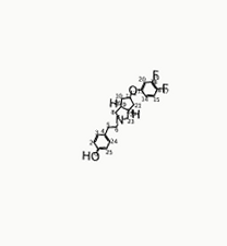 Oc1ccc(CCN2C[C@H]3C[C@H](Oc4ccc(F)c(F)c4)C[C@H]3C2)cc1